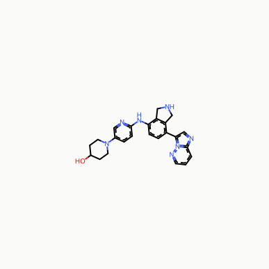 OC1CCN(c2ccc(Nc3ccc(-c4cnc5cccnn45)c4c3CNC4)nc2)CC1